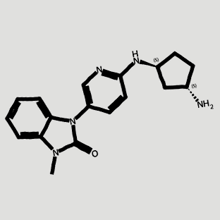 Cn1c(=O)n(-c2ccc(N[C@H]3CC[C@H](N)C3)nc2)c2ccccc21